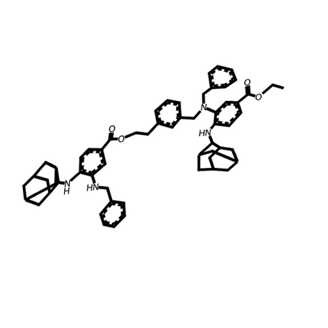 CCOC(=O)c1ccc(NC2C3CC4CC(C3)CC2C4)c(N(Cc2ccccc2)Cc2cccc(CCOC(=O)c3ccc(NC4C5CC6CC(C5)CC4C6)c(NCc4ccccc4)c3)c2)c1